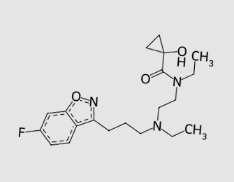 CCN(CCCc1noc2cc(F)ccc12)CCN(CC)C(=O)C1(O)CC1